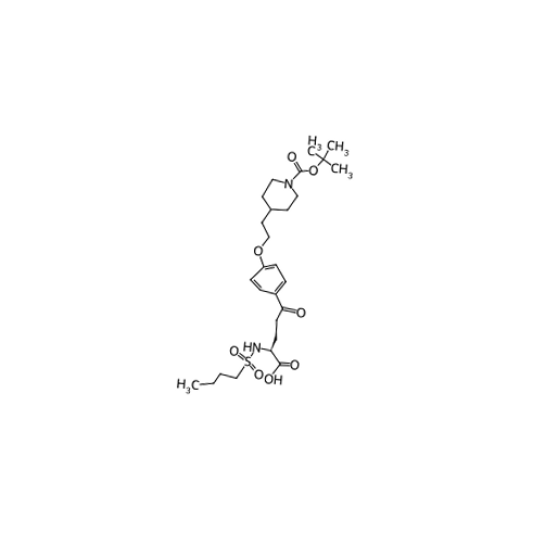 CCCCS(=O)(=O)N[C@@H](CCC(=O)c1ccc(OCCC2CCN(C(=O)OC(C)(C)C)CC2)cc1)C(=O)O